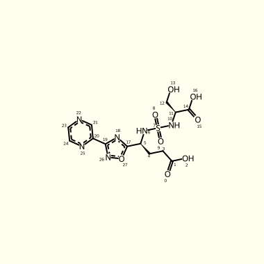 O=C(O)CC[C@H](NS(=O)(=O)N[C@@H](CO)C(=O)O)c1nc(-c2cnccn2)no1